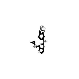 Cn1cc2ccc(Nc3nc(NC4CC4)c4occc4n3)cc2n1